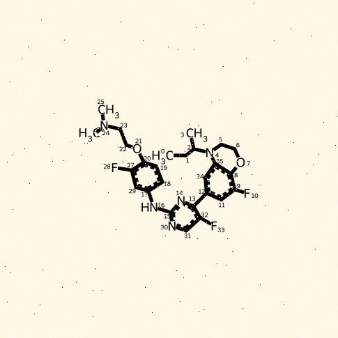 CCC(C)N1CCOc2c(F)cc(-c3nc(Nc4ccc(OCCN(C)C)c(F)c4)ncc3F)cc21